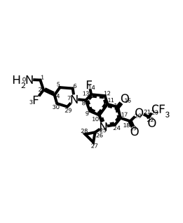 NCC(F)=C1CCN(c2cc3c(cc2F)c(=O)c(C(=O)OC(=O)C(F)(F)F)cn3C2CC2)CC1